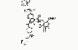 CSc1cc(C)[nH]c(=O)c1CNC(=O)c1c(C)n([C@H](C)C2CCC(NC3CC(F)(F)C3)CC2)c2ccc(NC(=O)CC34CC5CC(CC(C5)C3)C4)cc12